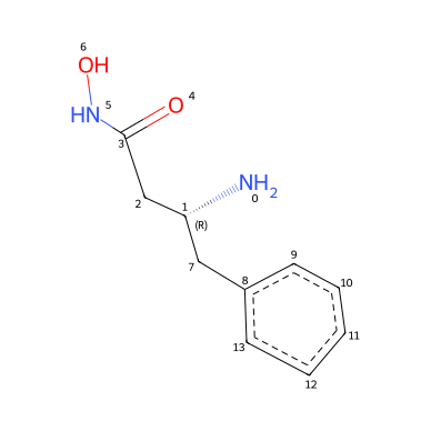 N[C@@H](CC(=O)NO)Cc1ccccc1